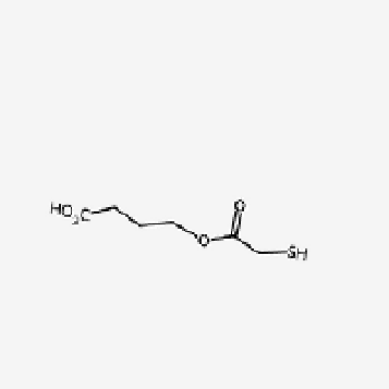 O=C(O)CCCOC(=O)CS